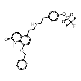 O=c1ccc2c(CCNCCc3ccc(OS(=O)(=O)C(F)(F)F)cc3)ccc(OCc3ccccc3)c2[nH]1